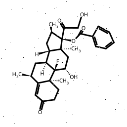 C[C@@H]1C[C@H]2[C@@H]3C[C@H](C)C4=CC(=O)CC[C@]4(C)[C@@]3(F)[C@@H](O)C[C@]2(C)[C@@]1(OC(=O)c1ccccc1)C(=O)CO